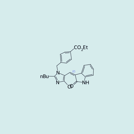 CCCCc1nc(Cl)c(/C=C2\C(=O)Nc3ccccc32)n1Cc1ccc(C(=O)OCC)cc1